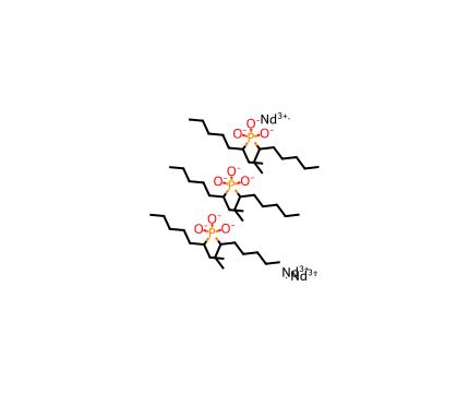 CCCCCC(CC)P([O-])([O-])([O-])C(CC)CCCCC.CCCCCC(CC)P([O-])([O-])([O-])C(CC)CCCCC.CCCCCC(CC)P([O-])([O-])([O-])C(CC)CCCCC.[Nd+3].[Nd+3].[Nd+3]